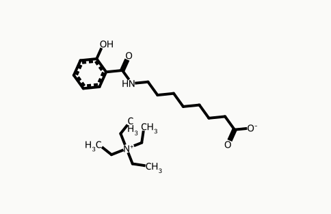 CC[N+](CC)(CC)CC.O=C([O-])CCCCCCCNC(=O)c1ccccc1O